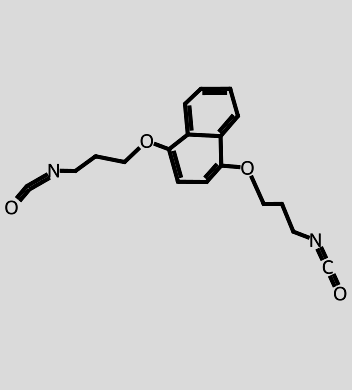 O=C=NCCCOc1ccc(OCCCN=C=O)c2ccccc12